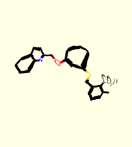 Cc1cccc(CSc2cccc(OCc3ccc4ccccc4n3)c2)c1C(=O)O